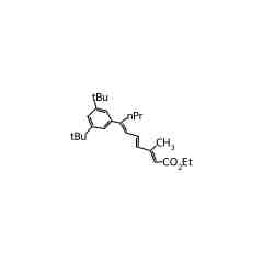 CCC\C(=C/C=C/C(C)=C/C(=O)OCC)c1cc(C(C)(C)C)cc(C(C)(C)C)c1